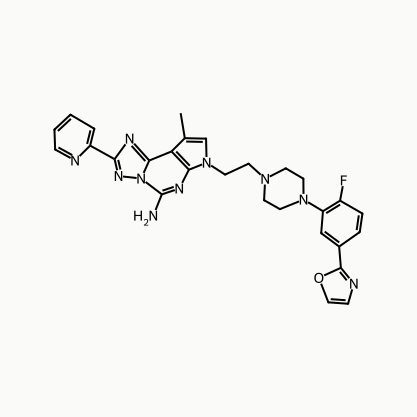 Cc1cn(CCN2CCN(c3cc(-c4ncco4)ccc3F)CC2)c2nc(N)n3nc(-c4ccccn4)nc3c12